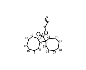 C=CCOC(=O)C1(C2CCCCCCC2)CCCCCCC1